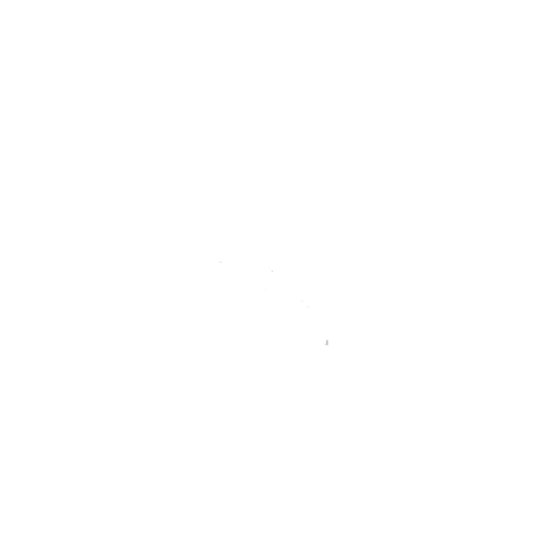 CC(Nc1cc(F)c(C(=O)NC(Cc2ccc(Br)c3c2COC3)C(=O)O)c(F)c1)C(F)(F)F